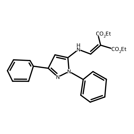 CCOC(=O)C(=CNc1cc(-c2ccccc2)nn1-c1ccccc1)C(=O)OCC